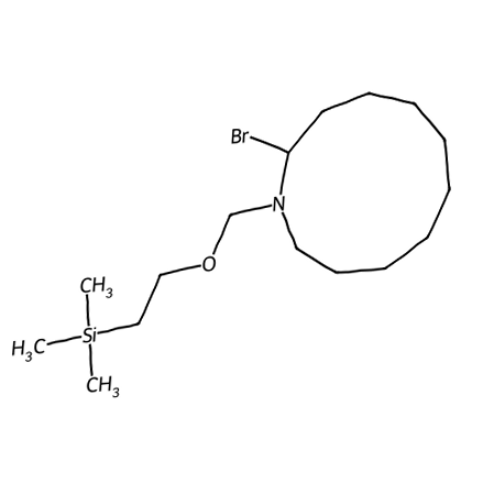 C[Si](C)(C)CCOCN1CCCCCCCCCC1Br